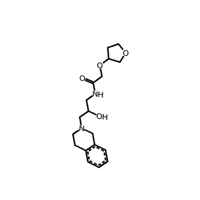 O=C(COC1CCOC1)NCC(O)CN1CCc2ccccc2C1